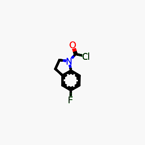 O=C(Cl)N1CCc2cc(F)ccc21